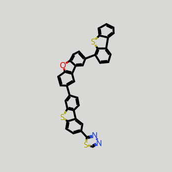 c1ccc2c(c1)sc1c(-c3ccc4oc5ccc(-c6ccc7c(c6)sc6ccc(-c8nncs8)cc67)cc5c4c3)cccc12